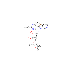 CSc1nc(C)c(-c2nc3cnccc3s2)c(N[C@@H]2C[C@H](CO[Si](O[SiH](C(C)C)C(C)C)(C(C)C)C(C)C)[C@@H](O)C2=O)n1